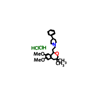 COc1cc2c(cc1OC)C(CCN1CCC(c3ccccc3)CC1)OCC(C)(C)C2.Cl.Cl